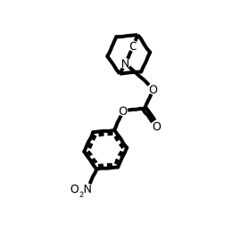 O=C(Oc1ccc([N+](=O)[O-])cc1)ON1CC2CCC1CC2